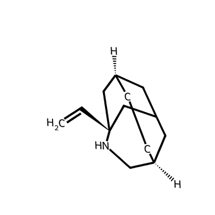 C=C[C@]12CC3C[C@H](CC[C@H](C3)C1)CN2